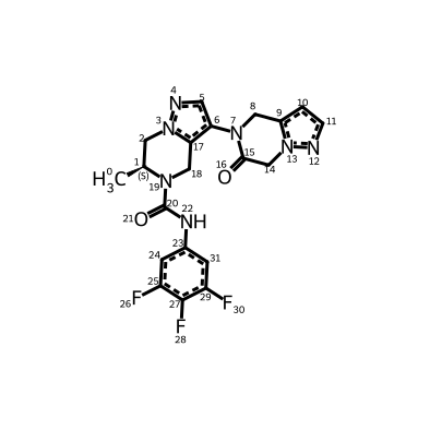 C[C@H]1Cn2ncc(N3Cc4ccnn4CC3=O)c2CN1C(=O)Nc1cc(F)c(F)c(F)c1